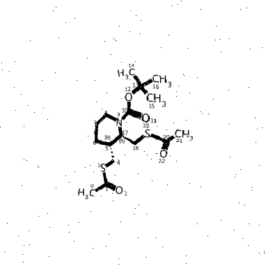 CC(=O)SC[C@@H]1CCCN(C(=O)OC(C)(C)C)[C@H]1CSC(C)=O